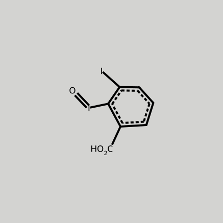 O=Ic1c(I)cccc1C(=O)O